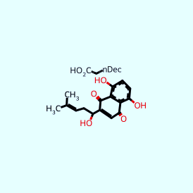 CC(C)=CCC(O)C1=CC(=O)c2c(O)ccc(O)c2C1=O.CCCCCCCCCCCC(=O)O